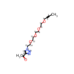 CC#CCOCCOCCOCCOCCn1cc(C(C)=O)nn1